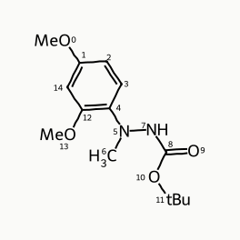 COc1ccc(N(C)NC(=O)OC(C)(C)C)c(OC)c1